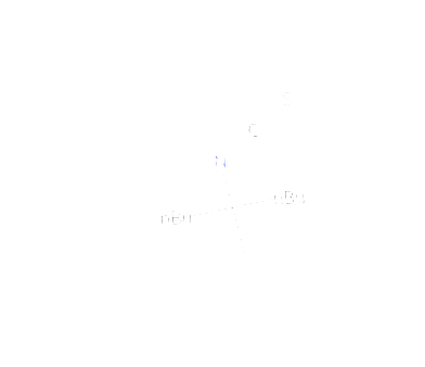 CCCCC(C)(CCCC)N=C=S